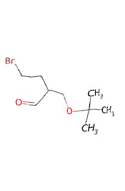 CC(C)(C)OCC(C=O)CCBr